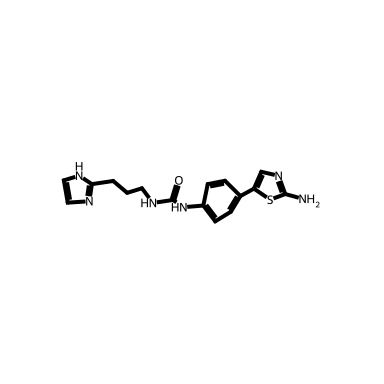 Nc1ncc(-c2ccc(NC(=O)NCCCc3ncc[nH]3)cc2)s1